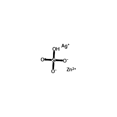 [Ag+].[O-][Si]([O-])([O-])O.[Zn+2]